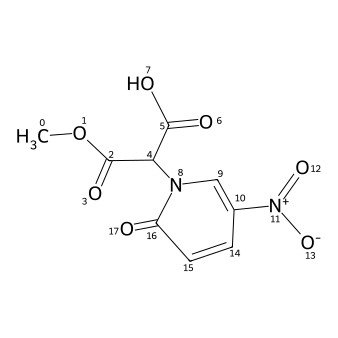 COC(=O)C(C(=O)O)n1cc([N+](=O)[O-])ccc1=O